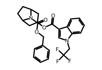 O=C(OC1CC2CCC(C1)N2C(=O)OCc1ccccc1)c1cn(CC(F)(F)F)c2ccccc12